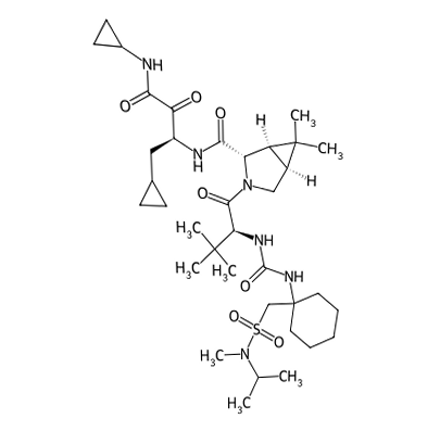 CC(C)N(C)S(=O)(=O)CC1(NC(=O)N[C@H](C(=O)N2C[C@H]3[C@@H]([C@H]2C(=O)N[C@@H](CC2CC2)C(=O)C(=O)NC2CC2)C3(C)C)C(C)(C)C)CCCCC1